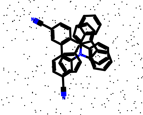 N#Cc1ccc([Si](c2ccccc2)(c2ccccc2)c2ccccc2)c(-c2ccc(C#N)cc2-n2c3ccccc3c3ccccc32)c1